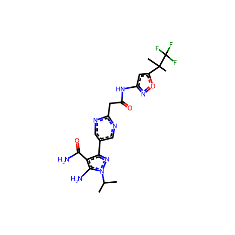 CC(C)n1nc(-c2cnc(CC(=O)Nc3cc(C(C)(C)C(F)(F)F)on3)nc2)c(C(N)=O)c1N